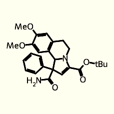 COc1cc2c(cc1OC)C1N(CC2)C(C(=O)OC(C)(C)C)=CC1(C(N)=O)c1ccccc1